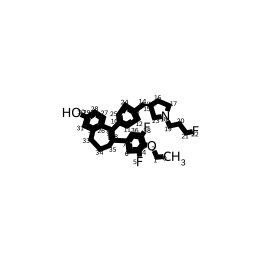 CCOc1c(F)cc(C2=C(c3ccc(C[C@H]4CCN(CCCF)C4)cc3)c3ccc(O)cc3CCC2)cc1F